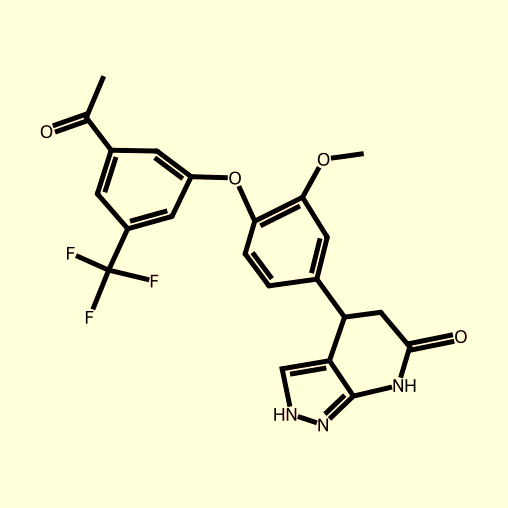 COc1cc(C2CC(=O)Nc3n[nH]cc32)ccc1Oc1cc(C(C)=O)cc(C(F)(F)F)c1